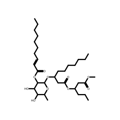 CCCCCCCC=CC(=O)OC1C(OC(CCCCCCC)CC(=O)OC(CCC)CC(=O)OC)OC(C)C(O)C1O